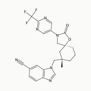 C[C@]1(Cn2cnc3ccc(C#N)cc32)CCC[C@@]2(CN(c3cnc(C(F)(F)F)nc3)C(=O)O2)C1